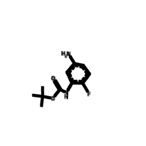 CC(C)(C)OC(=O)Nc1cc(N)ccc1F